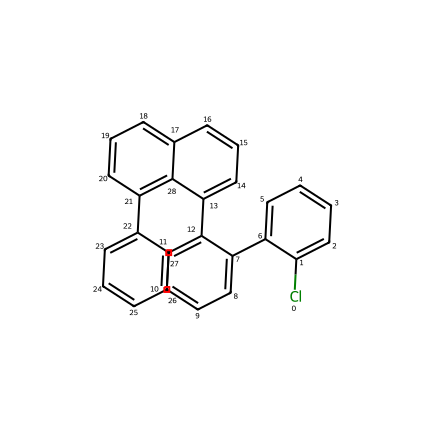 Clc1ccccc1-c1ccccc1-c1cccc2cccc(-c3ccccc3)c12